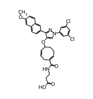 COc1ccc2cc(-c3nn(-c4cc(Cl)cc(Cl)c4)cc3OC3/C=C\C/C(C(=O)NCCC(=O)O)=C\CC3)ccc2c1